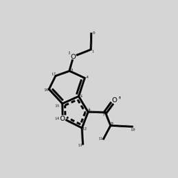 CCOC1C=c2c(C(=O)C(C)C)c(C)oc2=CC1